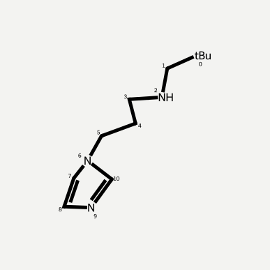 CC(C)(C)CNCCCn1ccnc1